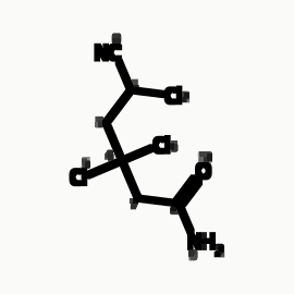 N#CC(Cl)CC(Cl)(Cl)CC(N)=O